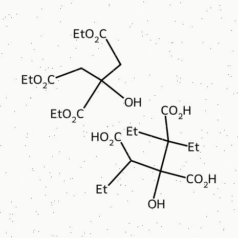 CCC(C(=O)O)C(O)(C(=O)O)C(CC)(CC)C(=O)O.CCOC(=O)CC(O)(CC(=O)OCC)C(=O)OCC